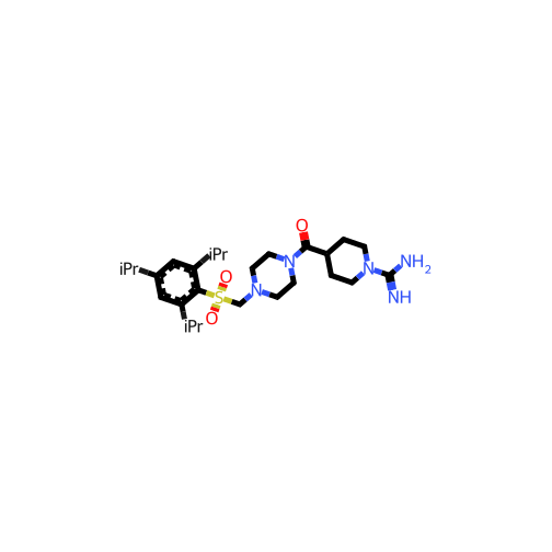 CC(C)c1cc(C(C)C)c(S(=O)(=O)CN2CCN(C(=O)C3CCN(C(=N)N)CC3)CC2)c(C(C)C)c1